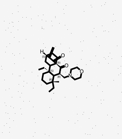 C=C1C(=O)[C@]23CC[C@H]1CC2[C@]1(CC)CCC[C@@](C)(CC)C1[C@H](CN1CCOCC1)C3=O